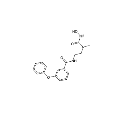 CN(CCNC(=O)c1cccc(Oc2ccccc2)c1)C(=O)NO